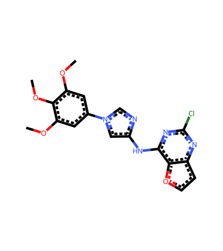 COc1cc(-n2cnc(Nc3nc(Cl)nc4ccoc34)c2)cc(OC)c1OC